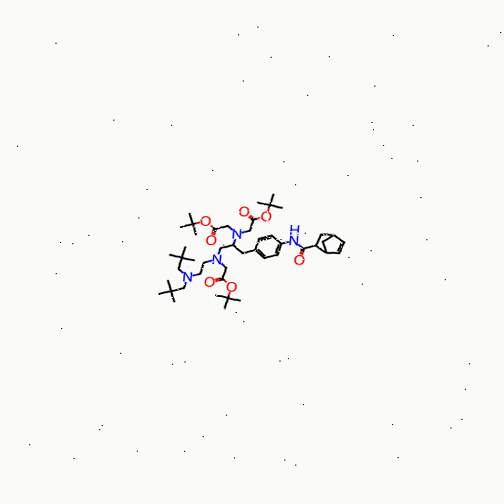 CC(C)(C)CN(CCN(CC(=O)OC(C)(C)C)CC(Cc1ccc(NC(=O)C2CC3C=CC2C3)cc1)N(CC(=O)OC(C)(C)C)CC(=O)OC(C)(C)C)CC(C)(C)C